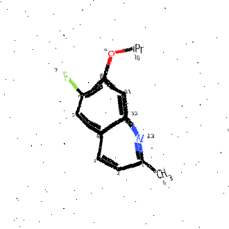 Cc1ccc2cc(F)c(OC(C)C)cc2n1